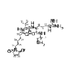 BC[C@@H](C)NC(=O)[C@H](CCCNC(=N)N)NC(=O)C(NC(=O)CCCCCN1C(=O)C=CC1=O)C(C)C